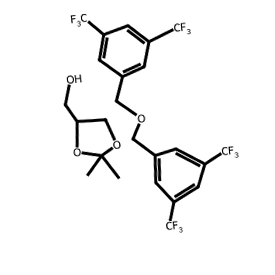 CC1(C)OCC(CO)O1.FC(F)(F)c1cc(COCc2cc(C(F)(F)F)cc(C(F)(F)F)c2)cc(C(F)(F)F)c1